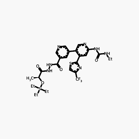 CCNC(=O)Nc1cc(-c2nc(C(F)(F)F)cs2)c(-c2cncc(C(=O)NNC(=O)[C@H](C)O[Si](CC)(CC)CC)c2)cn1